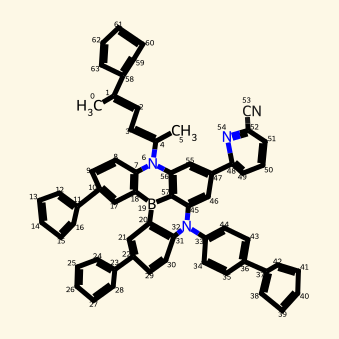 C/C(=C\C=C(/C)N1c2ccc(-c3ccccc3)cc2B2c3cc(-c4ccccc4)ccc3N(c3ccc(-c4ccccc4)cc3)c3cc(-c4cccc(C#N)n4)cc1c32)c1ccccc1